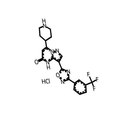 Cl.O=c1cc(C2CCNCC2)n2ncc(-c3nc(-c4cccc(C(F)(F)F)c4)no3)c2[nH]1